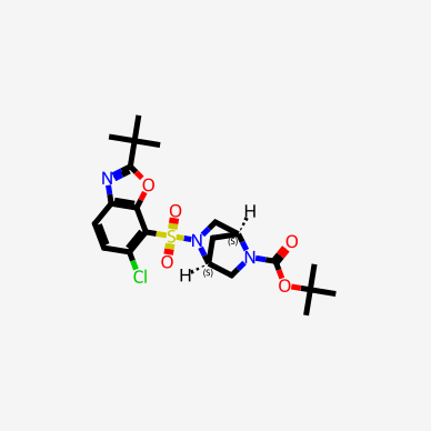 CC(C)(C)OC(=O)N1C[C@@H]2C[C@H]1CN2S(=O)(=O)c1c(Cl)ccc2nc(C(C)(C)C)oc12